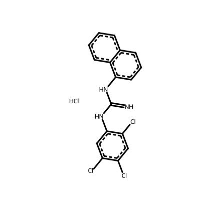 Cl.N=C(Nc1cc(Cl)c(Cl)cc1Cl)Nc1cccc2ccccc12